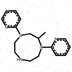 CC1CN(c2ccccn2)CCNCCN1c1ccccn1